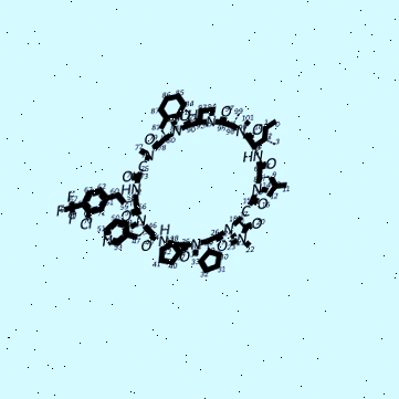 CC[C@H](C)[C@@H]1NC(=O)[C@H](CC(C)C)N(C)C(=O)C[C@@H](C(=O)N(C)C)N(C)C(=O)[C@H](C2CCCC2)N(C)C(=O)C2(CCCC2)NC(=O)[C@H](Cc2cccnc2)N(C)C(=O)[C@H](CCc2ccc(C(F)(F)F)c(Cl)c2)NC(=O)CN(C)C(=O)[C@H](CC2CCCCC2)N(C)C(=O)[C@@H]2CCN2C(=O)[C@H](C)N(C)C1=O